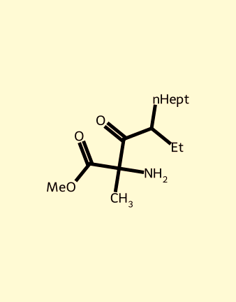 CCCCCCCC(CC)C(=O)C(C)(N)C(=O)OC